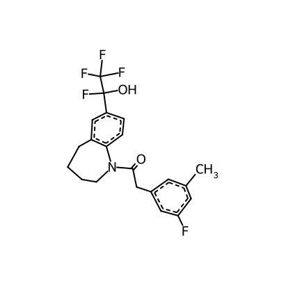 Cc1cc(F)cc(CC(=O)N2CCCCc3cc(C(O)(F)C(F)(F)F)ccc32)c1